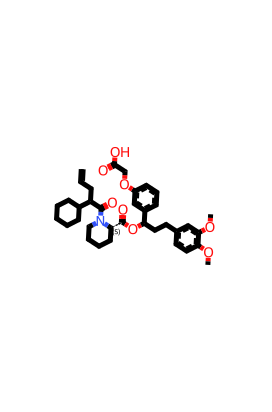 C=CCC(C(=O)N1CCCC[C@H]1C(=O)OC(CCc1ccc(OC)c(OC)c1)c1cccc(OCC(=O)O)c1)C1CCCCC1